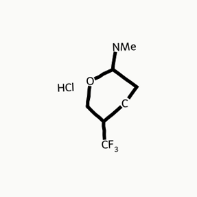 CNC1CCC(C(F)(F)F)CO1.Cl